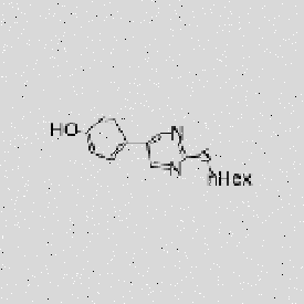 CCCCCCSc1ncc(-c2ccc(O)cc2)cn1